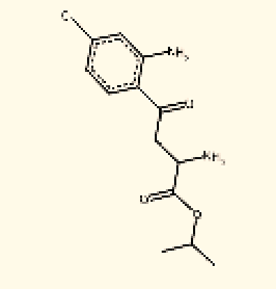 CC(C)OC(=O)C(N)CC(=O)c1ccc(Cl)cc1N